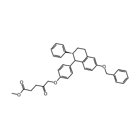 COC(=O)CCC(=O)COc1ccc(C2c3ccc(OCc4ccccc4)cc3CC[C@@H]2c2ccccc2)cc1